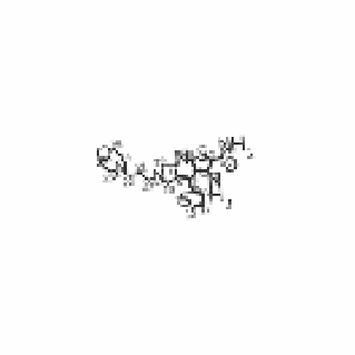 NC(=O)C1Sc2nc3c(c(-c4cccs4)c2C1N)CN(CCCN1CCOCC1)C3